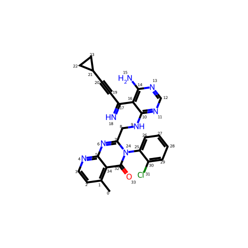 Cc1ccnc2nc(CNc3ncnc(N)c3C(=N)C#CC3CC3)n(-c3ccccc3Cl)c(=O)c12